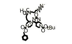 CN1CC(CN=[N+]=[N-])Oc2nc3c(c(n2)N2CCN(C(=O)OCc4ccccc4)CC2CCC1=O)CCN(C(=O)OC(C)(C)C)C3